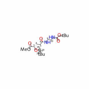 COC(=O)[C@H](CCC(=O)NCCNC(=O)OC(C)(C)C)O[Si](C)(C)C(C)(C)C